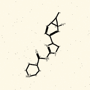 CC1C2C=CC(C3CSC(NC(=O)C4CCNCC4)=N3)=C[C@@H]12